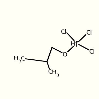 CC(C)C[O][Hf]([Cl])([Cl])[Cl]